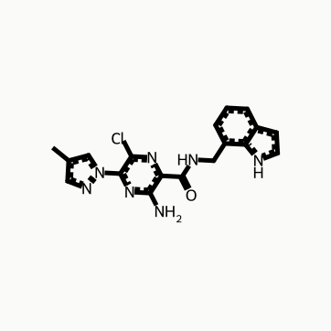 Cc1cnn(-c2nc(N)c(C(=O)NCc3cccc4cc[nH]c34)nc2Cl)c1